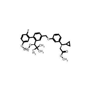 COC(=O)C[C@@H](c1cccc(OCc2ccc(-c3cc(OC)ccc3F)c([C@H](OC)C(C)(C)C)c2)c1)C1CC1